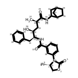 CC(C)[C@H]1COC(=O)N1c1cccc(C(=O)N[C@@H](Cc2ccccc2)[C@@H](O)C[C@@H](C)C(=O)NC2CC3CCC2C3)c1